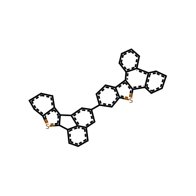 c1cc2c3c(cc(-c4ccc5c(c4)sc4c6ccccc6c6ccccc6c54)cc3c1)-c1c-2sc2ccccc12